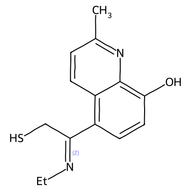 CC/N=C(\CS)c1ccc(O)c2nc(C)ccc12